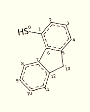 Sc1cccc2c1-c1ccccc1[CH]2